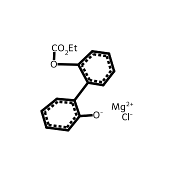 CCOC(=O)Oc1ccccc1-c1ccccc1[O-].[Cl-].[Mg+2]